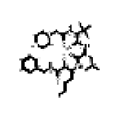 CCCCC(NC(=O)[C@H](CC(C)C)NC(=O)[C@@H](NC(=O)CN1CCOCC1)C(C)(C)C)[C@H](O)C(=O)NCc1ccccc1